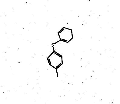 Cc1ccc(SC2=CCCC=C2)cc1